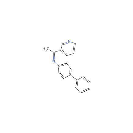 CC(=Nc1ccc(-c2ccccc2)cc1)c1cccnc1